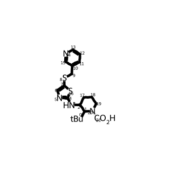 CC(C)(C)C1C(Nc2ncc(SCc3cccnc3)s2)CCCN1C(=O)O